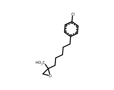 O=C(O)C1(CCCCCc2ccc(Cl)cc2)CO1